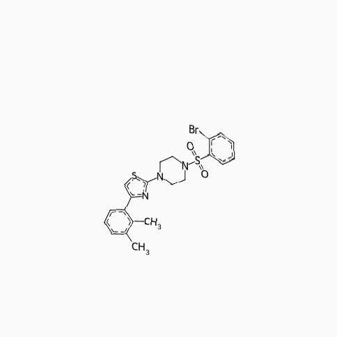 Cc1cccc(-c2csc(N3CCN(S(=O)(=O)c4ccccc4Br)CC3)n2)c1C